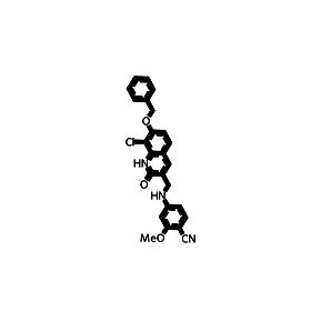 COc1cc(NCc2cc3ccc(OCc4ccccc4)c(Cl)c3[nH]c2=O)ccc1C#N